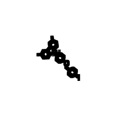 Cc1ccc2c(c1)-c1cc(C)ccc1[SH]2c1ccc(OCc2ccc(I)cc2)cc1